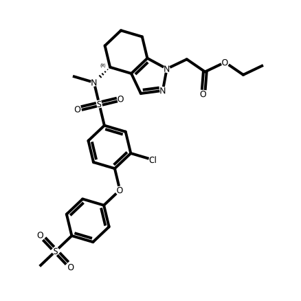 CCOC(=O)Cn1ncc2c1CCC[C@H]2N(C)S(=O)(=O)c1ccc(Oc2ccc(S(C)(=O)=O)cc2)c(Cl)c1